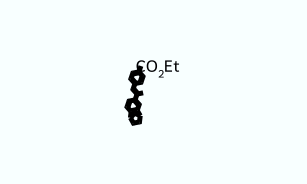 CCOC(=O)c1ccc(C=C(C)c2ccc3c(c2)C2CCC3C2)cc1